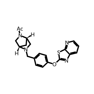 CC(=O)N1C[C@@H]2C[C@H]1CN2Cc1ccc(Oc2nc3cccnc3s2)cc1